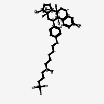 C[C@]12C[C@H](c3ccc(OCCCCC[S+]([O-])CCCC(F)(F)F)cc3)[C@@H]3c4ccc(O)cc4CC[C@H]3[C@@H]1CC[C@@H]2O